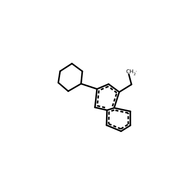 [CH2]Cc1cc(C2CCCCC2)cc2ccccc12